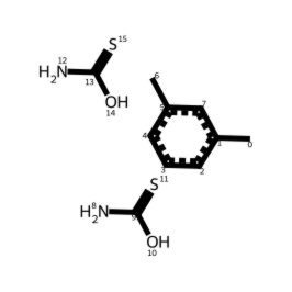 Cc1cccc(C)c1.NC(O)=S.NC(O)=S